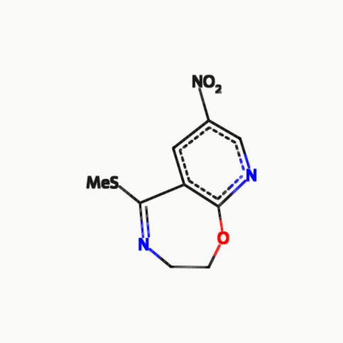 CSC1=NCCOc2ncc([N+](=O)[O-])cc21